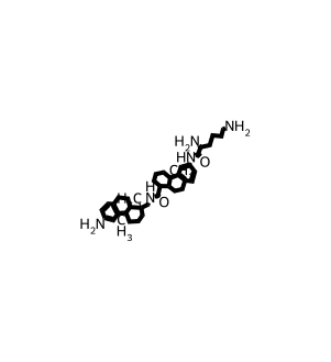 CC12CCCC(C(=O)NC[C@@]3(C)CCCC4(C)c5cc(N)ccc5CCC43)C1CCc1ccc(NC(=O)C(N)CCCCN)cc12